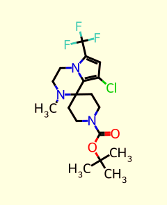 CN1CCn2c(C(F)(F)F)cc(Cl)c2C12CCN(C(=O)OC(C)(C)C)CC2